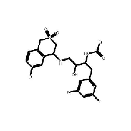 CCC(=O)NC(Cc1cc(F)cc(F)c1)C(O)CNC1CS(=O)(=O)Cc2ccc(CC)cc21